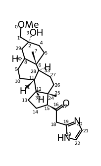 COC[C@@]1(O)CC[C@@]2(C)[C@@H](CC[C@H]3[C@H]4CC[C@H](C(=O)Cc5ncc[nH]5)[C@@]4(C)CC[C@@H]32)C1